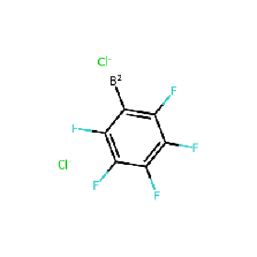 [B+2]c1c(F)c(F)c(F)c(F)c1F.[Cl-].[Cl-]